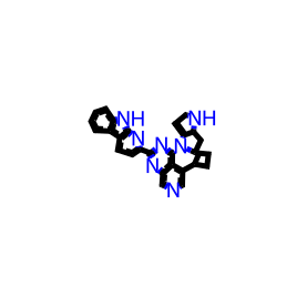 C1=C2C(CCN2c2nc(-c3ccc4c(n3)[nH]c3ccccc34)nc3cncc(C4CCC4)c23)NC1